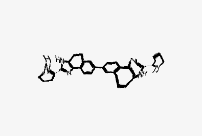 c1cc2c(cc1-c1ccc3c(c1)CCc1[nH]c([C@@H]4CCCN4)nc1-3)CCc1[nH]c([C@@H]3CCCN3)nc1-2